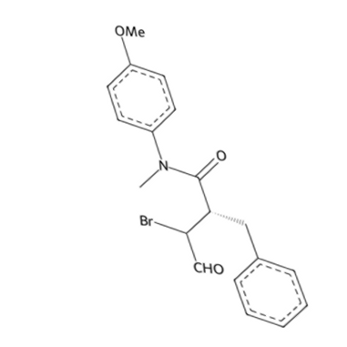 COc1ccc(N(C)C(=O)[C@H](Cc2ccccc2)C(Br)C=O)cc1